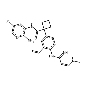 C=Cc1cc(C2(C(=O)Nc3cc(Br)cnc3N)CCC2)ccc1NC(=N)/C=C\NC